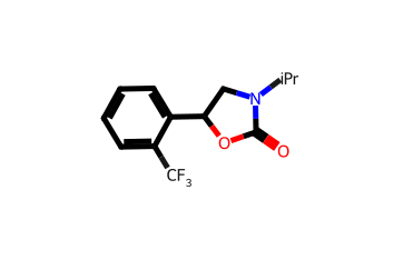 CC(C)N1CC(c2ccccc2C(F)(F)F)OC1=O